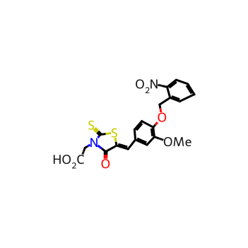 COc1cc(/C=C2\SC(=S)N(CC(=O)O)C2=O)ccc1OCc1ccccc1[N+](=O)[O-]